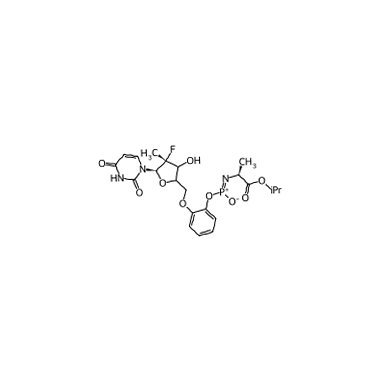 CC(C)OC(=O)[C@H](C)N=[P+]([O-])Oc1ccccc1OCC1O[C@@H](n2ccc(=O)[nH]c2=O)[C@](C)(F)C1O